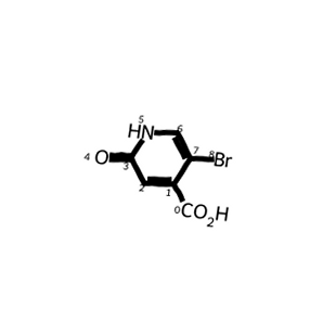 O=C(O)c1cc(=O)[nH]cc1Br